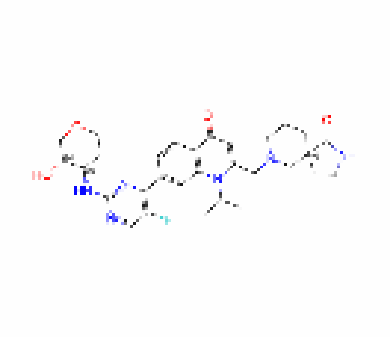 CC(C)n1c(CN2CCC[C@]3(CCNC3=O)C2)cc(=O)c2ccc(-c3nc(N[C@@H]4CCOC[C@H]4O)ncc3F)cc21